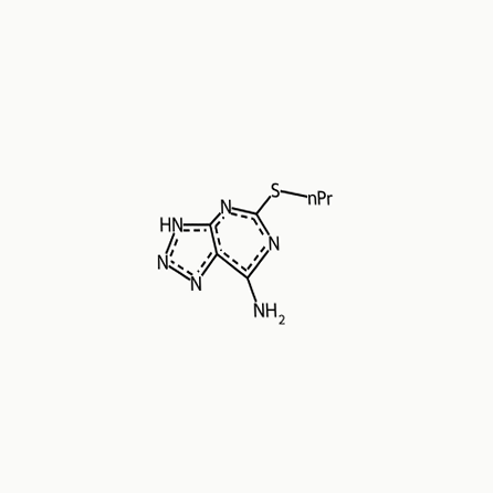 CCCSc1nc(N)c2nn[nH]c2n1